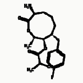 CC(C)C(=O)O[C@@H]1[C@@H](Cc2ccc(F)cc2)CCC[C@H](N)C(=O)O[C@H]1C